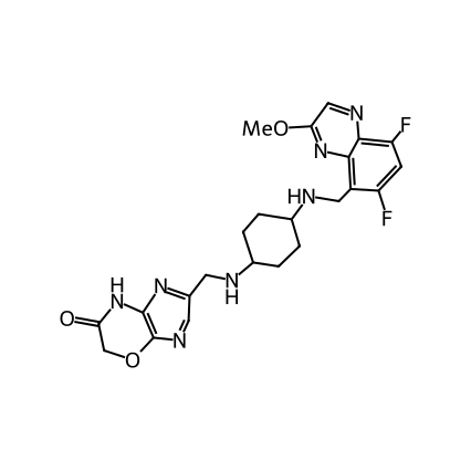 COc1cnc2c(F)cc(F)c(CNC3CCC(NCc4cnc5c(n4)NC(=O)CO5)CC3)c2n1